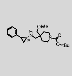 COCC1(CN[C@@H]2CC2c2ccccc2)CCN(C(=O)OC(C)(C)C)CC1